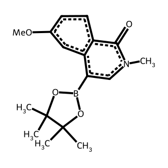 COc1ccc2c(=O)n(C)cc(B3OC(C)(C)C(C)(C)O3)c2c1